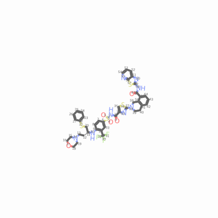 O=C(NS(=O)(=O)c1ccc(N[C@H](CCN2CCOCC2)CSc2ccccc2)c(C(F)(F)F)c1)c1csc(N2CCc3cccc(C(=O)Nc4nc5cccnc5s4)c3C2)n1